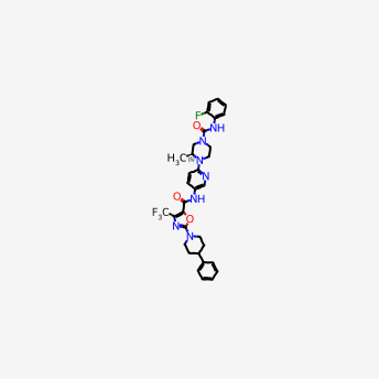 C[C@H]1CN(C(=O)Nc2ccccc2F)CCN1c1ccc(NC(=O)c2oc(N3CCC(c4ccccc4)CC3)nc2C(F)(F)F)cn1